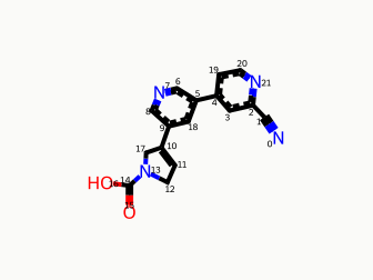 N#Cc1cc(-c2cncc(C3=CCN(C(=O)O)C3)c2)ccn1